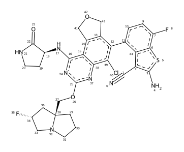 N#Cc1c(N)sc2c(F)ccc(-c3c4c(c5c(N[C@H]6CCNC6=O)nc(OC[C@@]67CCCN6C[C@H](F)C7)nc5c3Cl)COC4)c12